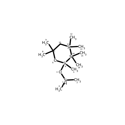 C[SiH](C)O[Si]1(C)OC(C)(C)C[Si](C)(C)[Si]1(C)C